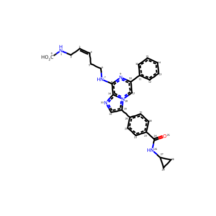 O=C(O)NC/C=C\CCNc1nc(-c2ccccc2)cn2c(-c3ccc(C(=O)NC4CC4)cc3)cnc12